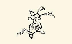 CCCC(C)(C)C[C@H](NC(=O)C1CC1)C(=O)NC1(C(O)C(N)=O)CCC1